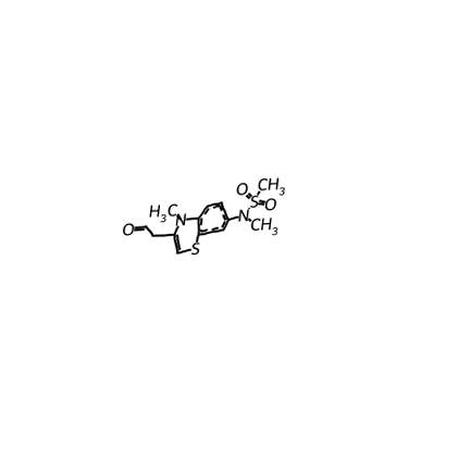 CN1C(CC=O)=CSc2cc(N(C)S(C)(=O)=O)ccc21